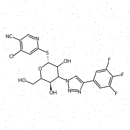 N#Cc1cnc(S[C@H]2OC(CO)[C@H](O)C(n3cc(-c4cc(F)c(F)c(F)c4)nn3)C2O)cc1Cl